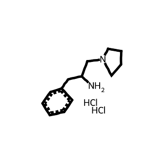 Cl.Cl.NC(Cc1ccccc1)CN1CCCC1